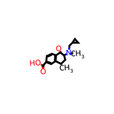 CC1CC(N(C)CC2CC2)C(=O)c2ccc(C(=O)O)cc21